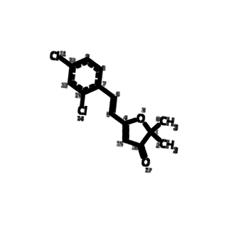 CC1(C)OC(C=Cc2ccc(Cl)cc2Cl)=CC1=O